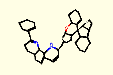 C1=CC2C3CCCCC3C3(C4=CCCCC4OC4CC(C5C=CC6=CCC7CCC(C8=CCCCC8)=NC7C6N5)CCC43)C2CC1